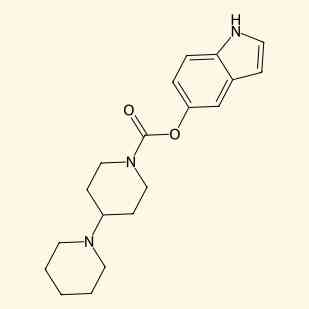 O=C(Oc1ccc2[nH]ccc2c1)N1CCC(N2CCCCC2)CC1